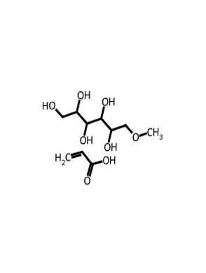 C=CC(=O)O.COCC(O)C(O)C(O)C(O)CO